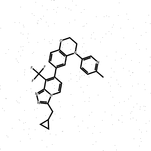 Cc1ccc(N2CCOc3ccc(-c4ccn5c(CC6CC6)nnc5c4C(F)(F)F)cc32)cn1